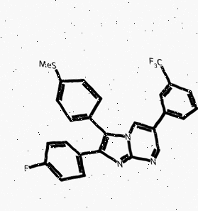 CSc1ccc(-c2c(-c3ccc(F)cc3)nc3ncc(-c4cccc(C(F)(F)F)c4)cn23)cc1